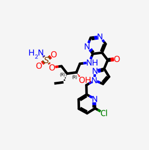 CC[C@H](COS(N)(=O)=O)[C@@H](O)CNc1ncncc1C(=O)c1ccn(Cc2cccc(Cl)n2)n1